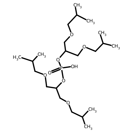 CC(C)COCC(COCC(C)C)OP(=O)(O)OC(COCC(C)C)COCC(C)C